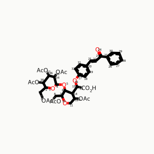 CC(=O)OCC1OC(OC2C(COC(C)=O)OCC(OC(C)=O)C2C(Oc2ccc(C=CC(=O)c3ccccc3)cc2)C(=O)O)C(OC(C)=O)C(OC(C)=O)C1OC(C)=O